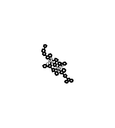 c1ccc(-c2ccc3ccc(-c4ccc(-c5nc(-c6ccccc6-c6ccccc6)nc(-c6cc(-c7ccc(-c8ccccc8)c(-c8nc(-c9ccc(-c%10ccc(-c%11cc%12ccccc%12c%12ccccc%11%12)cc%10)c%10ccccc9%10)nc(-c9cccc%10c9oc9ccccc9%10)n8)c7)cc7c6oc6ccccc67)n5)c5ccccc45)cc3c2)cc1